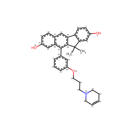 CC1(C)c2cc(O)ccc2-c2cc3ccc(O)cc3c(-c3cccc(OCCCN4CC=CCC4)c3)c21